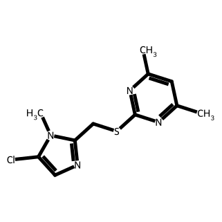 Cc1cc(C)nc(SCc2ncc(Cl)n2C)n1